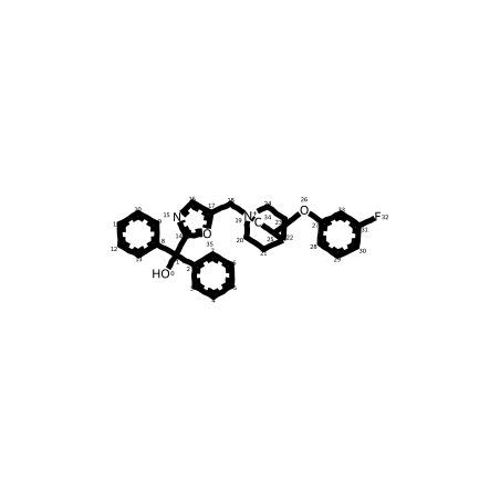 OC(c1ccccc1)(c1ccccc1)c1ncc(C[N+]23CCC(CC2)C(Oc2cccc(F)c2)C3)o1